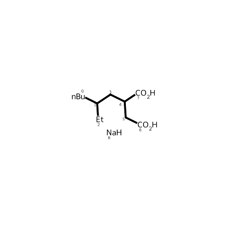 CCCCC(CC)CC(CC(=O)O)C(=O)O.[NaH]